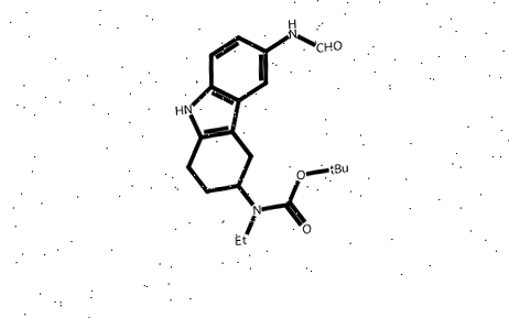 CCN(C(=O)OC(C)(C)C)C1CCc2[nH]c3ccc(NC=O)cc3c2C1